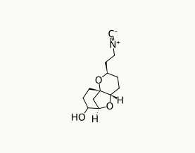 [C-]#[N+]CC[C@H]1CC[C@@H]2O[C@@H]3C[C@]2(CCC3O)O1